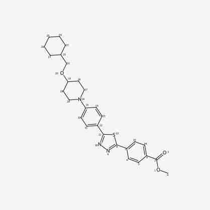 COC(=O)c1ccc(-c2nnc(-c3ccc(N4CCC(OCC5CCCCC5)CC4)cc3)s2)cc1